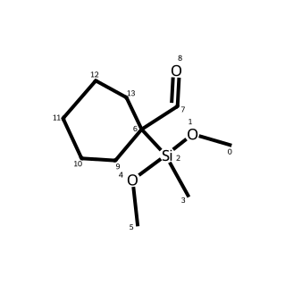 CO[Si](C)(OC)C1(C=O)CCCCC1